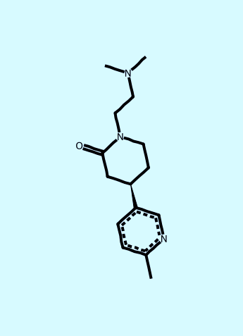 Cc1ccc([C@@H]2CCN(CCN(C)C)C(=O)C2)cn1